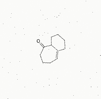 O=C1CCCC=C2CCCCC12